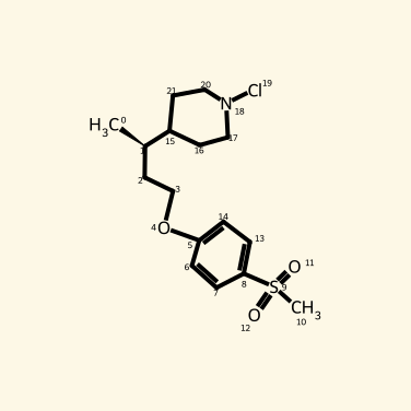 C[C@H](CCOc1ccc(S(C)(=O)=O)cc1)C1CCN(Cl)CC1